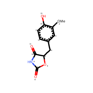 COc1cc(CC2OC(=O)NC2=O)ccc1O